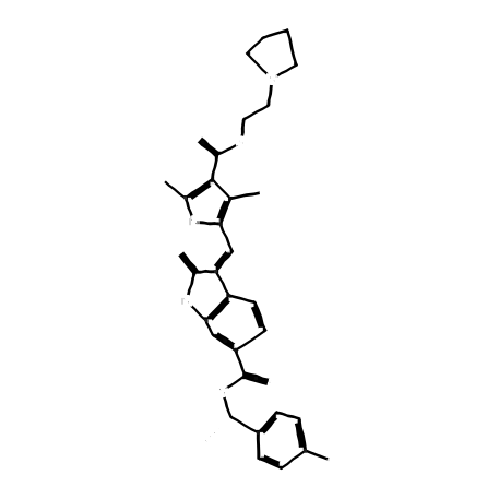 Cc1[nH]c(/C=C2\C(=O)Nc3cc(C(=O)N[C@@H](C)c4ccc(F)cc4)ccc32)c(C)c1C(=O)NCCN1CCCC1